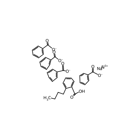 CCCCc1ccccc1C(=O)O.O=C([O-])c1ccccc1.O=C([O-])c1ccccc1.O=C([O-])c1ccccc1.O=C([O-])c1ccccc1.[Al+3].[Na+]